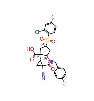 N#CC1(C(N)=O)CC1[C@]1(C(=O)O)C[C@@H](S(=O)(=O)c2ccc(Cl)cc2Cl)C[C@H]1OCc1ccc(Cl)cc1